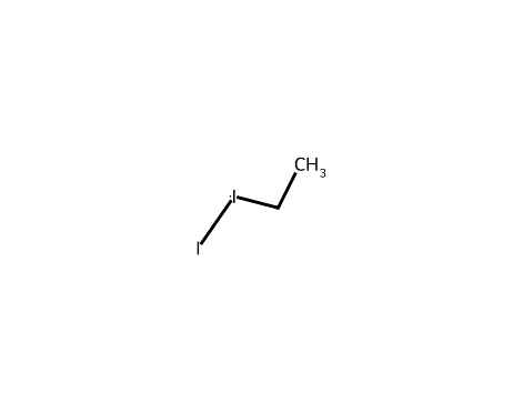 CC[I]I